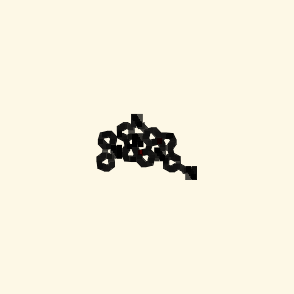 N#Cc1ccc2c(c1)c1ccccc1n2-c1ccccc1-c1cccc(C#N)c1-n1c2ccccc2c2c(-n3c4ccccc4c4ccccc43)cccc21